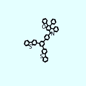 c1ccc(-c2c3c(cc4c(-c5ccc(-c6cc(-c7ccc8c(c7)sc7ccccc78)cc(-c7ccc8c(c7)sc7ccccc78)c6)cc5)nc5ccccc5c24)oc2ccccc23)cc1